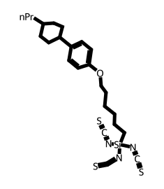 CCCC1CCC(c2ccc(OCCCCCC[Si](N=C=S)(N=C=S)N=C=S)cc2)CC1